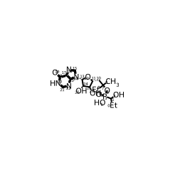 CCC(O)P(=O)(O)OC(C)(CC)C[C@H]1O[C@@H](n2cnc3c(=O)[nH]cnc32)[C@H](O)[C@@H]1O